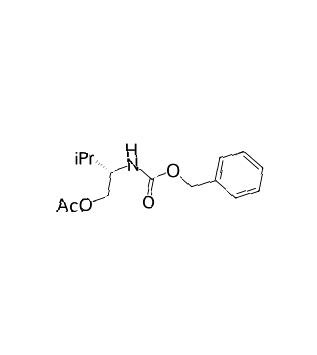 CC(=O)OC[C@@H](NC(=O)OCc1ccccc1)C(C)C